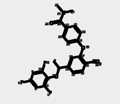 CC(Oc1c(F)cc(F)cc1F)c1ccc([N+](=O)[O-])c(Oc2ccc(C(=O)N(C)C)cc2)c1